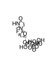 C=C1NC(=O)C=CN1[C@@H]1O[C@H](COP(=O)(O)OP(=O)(O)OP(=O)(O)O)C[C@@]1(C)F